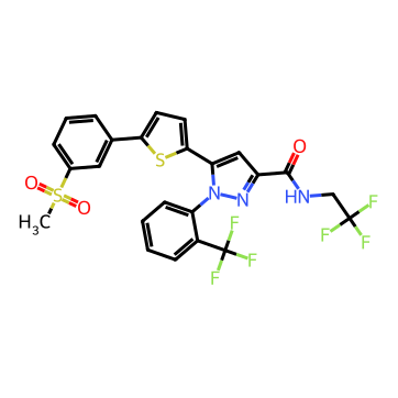 CS(=O)(=O)c1cccc(-c2ccc(-c3cc(C(=O)NCC(F)(F)F)nn3-c3ccccc3C(F)(F)F)s2)c1